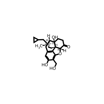 C[N@+]1(CC2CC2)CC[C@]23c4c5cc(O)c(CO)c4O[C@H]2C(=O)CC[C@@]3(O)[C@H]1C5